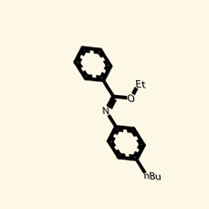 CCCCc1ccc(N=C(OCC)c2ccccc2)cc1